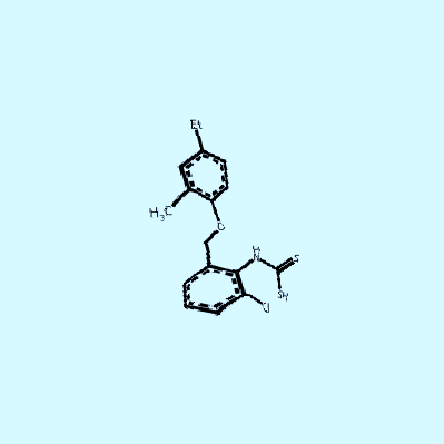 CCc1ccc(OCc2cccc(Cl)c2NC(=S)S)c(C)c1